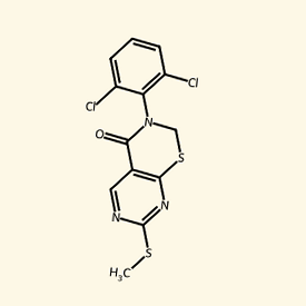 CSc1ncc2c(n1)SCN(c1c(Cl)cccc1Cl)C2=O